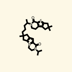 CC(C)N1CCn2c(cc3c2CC(C)(CCCC(C)N2CCc4c(sc5c4CC(C)(C)C5)C2=O)C3)C1=O